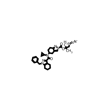 CC(C)(CN=[N+]=[N-])OC(=O)n1cc2c(n1)CCC(N(C(=O)c1nn(Cc3ccccc3)c3c1CCCC3)C1CC1)C2